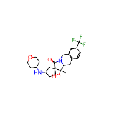 CC1(O)C2Cc3ccc(C(F)(F)F)cc3CN2C(=O)[C@]12CC[C@@H](NC1CCOCC1)C2